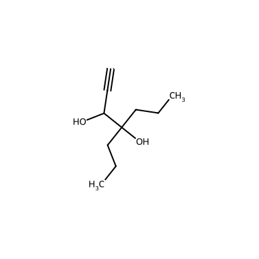 [C]#CC(O)C(O)(CCC)CCC